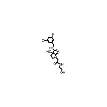 O=C(CN1CCC(O)(C(=O)NCc2cc(F)cc(Cl)c2)C1=O)NCCO